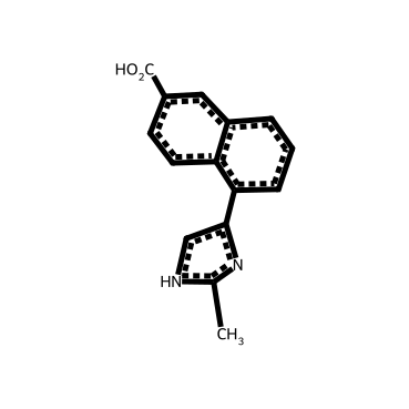 Cc1nc(-c2cccc3cc(C(=O)O)ccc23)c[nH]1